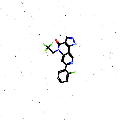 O=c1c2cn[nH]c2c2cnc(-c3ccccc3F)cc2n1CC(F)(F)F